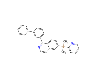 CS(C)(c1ccc2c(-c3cccc(-c4ccccc4)c3)nccc2c1)c1ccccn1